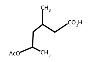 CC(=O)OC(C)CC(C)CC(=O)O